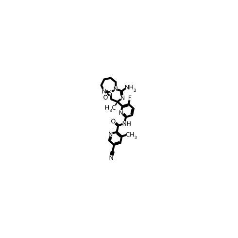 Cc1cc(C#N)cnc1C(=O)Nc1ccc(F)c([C@]2(C)CS3(=O)=NCCCCN3C(N)=N2)n1